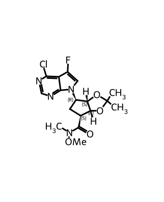 CON(C)C(=O)[C@H]1C[C@@H](n2cc(F)c3c(Cl)ncnc32)[C@@H]2OC(C)(C)O[C@@H]21